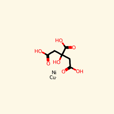 O=C(O)CC(O)(CC(=O)O)C(=O)O.[Cu].[Ni]